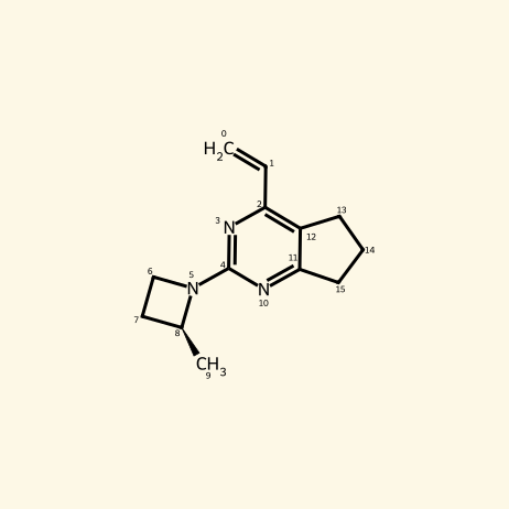 C=Cc1nc(N2CC[C@@H]2C)nc2c1CCC2